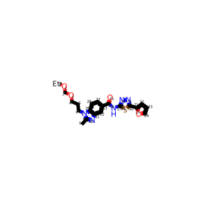 [CH2]COCOCCCn1c(C)nc2cc(C(=O)Nc3nnc(-c4ccco4)s3)ccc21